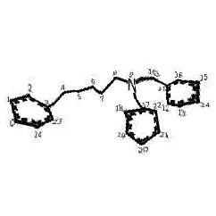 c1ccc(CCCCCN(Cc2ccccc2)c2ccccc2)cc1